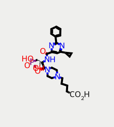 O=C(O)CCCCN1CCN(C(=O)[C@H](CP(=O)(O)O)NC(=O)c2cc(C3CC3)nc(-c3ccccc3)n2)CC1